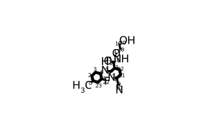 Cc1ccc(Nc2nc(C#N)ccc2C(=O)NOCCO)c(F)c1